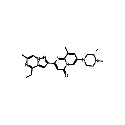 CCc1nc(C)cn2nc(-c3cc(=O)n4cc(N5CCN(C)[C@@H](C)C5)cc(C)c4n3)cc12